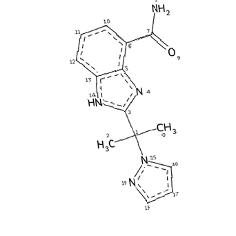 CC(C)(c1nc2c(C(N)=O)cccc2[nH]1)n1cccn1